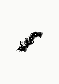 Cc1ccc(S(=O)(=O)CNCC(CS(=O)(=O)c2ccc(Oc3ccc(OC(F)(F)F)cc3)cc2)N(O)C=O)cc1